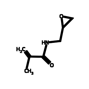 C=C(C)C(=O)NCC1CO1